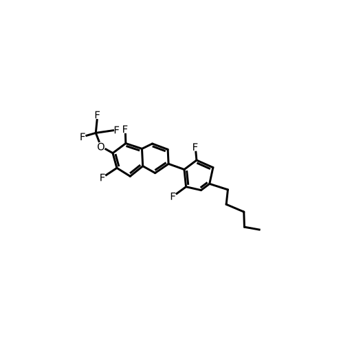 CCCCCc1cc(F)c(-c2ccc3c(F)c(OC(F)(F)F)c(F)cc3c2)c(F)c1